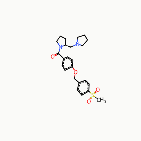 CS(=O)(=O)c1ccc(COc2ccc(C(=O)N3CCC[C@H]3CN3CCCC3)cc2)cc1